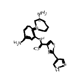 Nc1ccc(N2CCC[C@@H](N)C2)c(NC(=O)c2csc(-c3cn[nH]c3)n2)c1